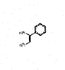 CCCC=C(CCC)c1ccccc1